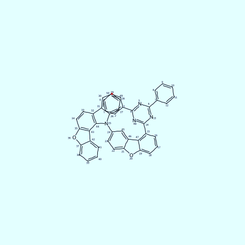 c1ccc(-c2nc(-c3ccccc3)nc(-c3cccc4oc5ccc(-n6c7ccccc7c7ccc8oc9ccccc9c8c76)cc5c34)n2)cc1